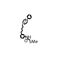 CSCC(=O)Nc1cccc(CCCCCN2CCN(c3ccccc3)CC2)c1